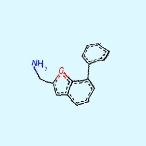 NCc1cc2cccc(-c3cc[c]cc3)c2o1